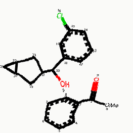 COC(=O)c1ccccc1.OC(c1cccc(Cl)c1)C1CC2CC2C1